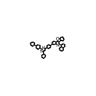 c1ccc(-c2ccc(-c3nc(-c4ccccc4)cc(-c4ccc(-c5ccc6c(c5)nc(-c5cccc7ccccc57)c5c7ccccc7oc65)cc4)n3)cc2)cc1